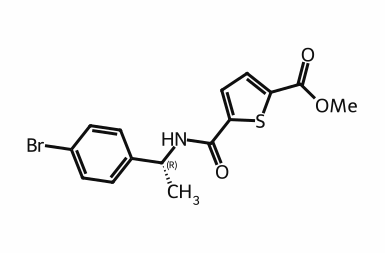 COC(=O)c1ccc(C(=O)N[C@H](C)c2ccc(Br)cc2)s1